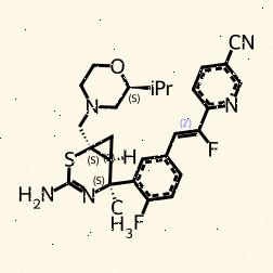 CC(C)[C@H]1CN(C[C@]23C[C@H]2[C@@](C)(c2cc(/C=C(\F)c4ccc(C#N)cn4)ccc2F)N=C(N)S3)CCO1